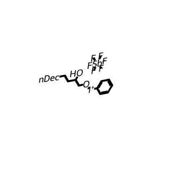 CCCCCCCCCCCCC(O)CO[I+]c1ccccc1.[F][Sb-]([F])([F])([F])([F])[F]